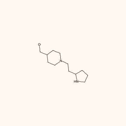 [O]CC1CCN(CCC2CCCN2)CC1